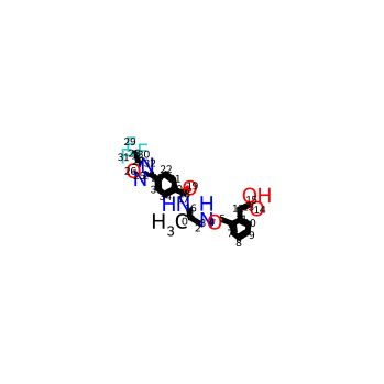 CC(CNOCc1ccccc1CC(=O)O)CNC(=O)c1ccc(-c2noc(C(F)(F)F)n2)cc1